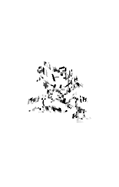 CCCCONC(=O)C(C)(C)n1c(=O)c2c(C)c(-n3nccn3)sc2n(C[C@H](OCCCO)c2cc(F)ccc2OC)c1=O